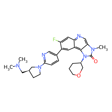 CN(C)C[C@@H]1CCN(c2ccc(-c3cc4c(cc3F)ncc3c4n([C@@H]4CCCOC4)c(=O)n3C)cn2)C1